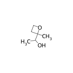 CC(O)C1(C)CCO1